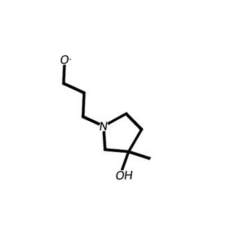 CC1(O)CCN(CCC[O])C1